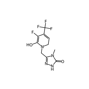 Cn1c(CN2CC=C(C(F)(F)F)C(F)=C2O)n[nH]c1=O